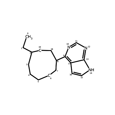 CCC1CCCCCC(c2ncnc3[nH]ccc23)CC1